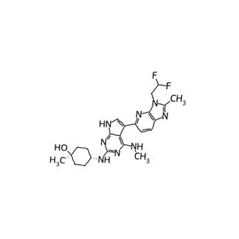 CNc1nc(N[C@H]2CC[C@](C)(O)CC2)nc2[nH]cc(-c3ccc4nc(C)n(CC(F)F)c4n3)c12